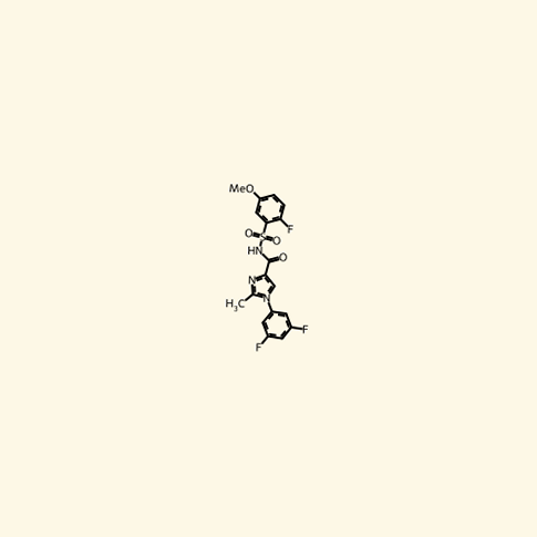 COc1ccc(F)c(S(=O)(=O)NC(=O)c2cn(-c3cc(F)cc(F)c3)c(C)n2)c1